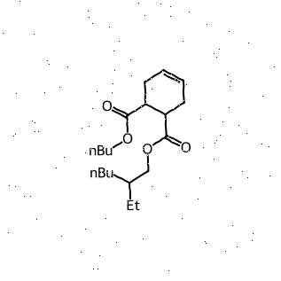 CCCCOC(=O)C1CC=CCC1C(=O)OCC(CC)CCCC